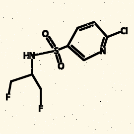 O=S(=O)(NC(CF)CF)c1ccc(Cl)nc1